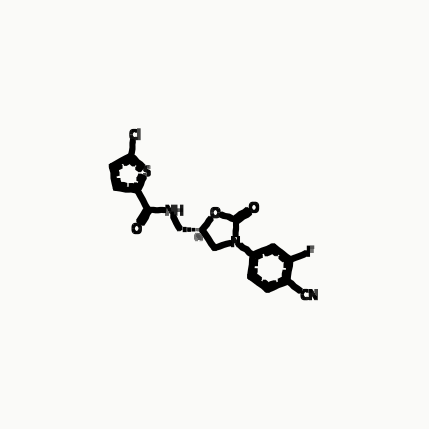 N#Cc1ccc(N2C[C@H](CNC(=O)c3ccc(Cl)s3)OC2=O)cc1F